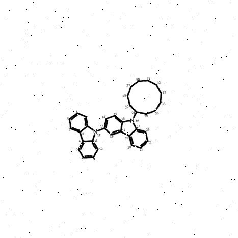 c1ccc2c(c1)c1ccccc1n2-c1ccc2c(c1)c1ccccc1n2C1CCCCCCCCCC1